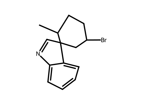 CC1CCC(Br)CC12C=Nc1ccccc12